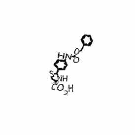 O=C(Nc1ccc(C2N[C@H](C(=O)O)CS2)cc1)OCc1ccccc1